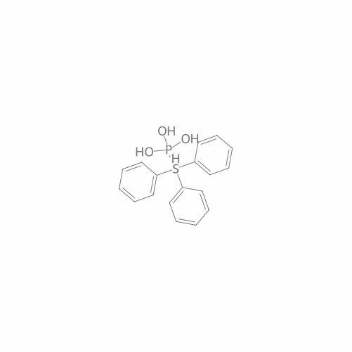 OP(O)(O)=[SH](c1ccccc1)(c1ccccc1)c1ccccc1